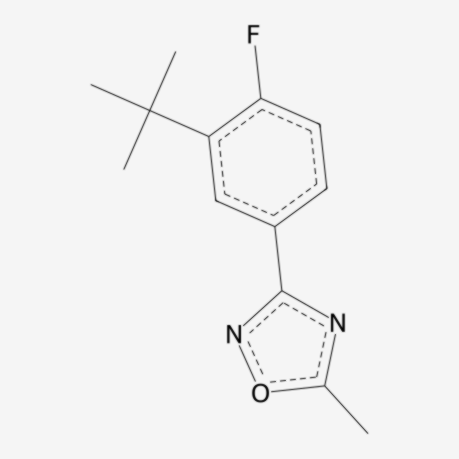 Cc1nc(-c2ccc(F)c(C(C)(C)C)c2)no1